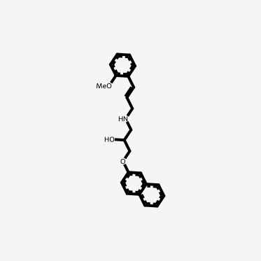 COc1ccccc1C=CCNCC(O)COc1ccc2ccccc2c1